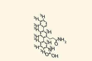 [3H]c1ccc(-c2c([3H])c([3H])c(-c3c([3H])c([3H])c([3H])c(N([3H])C(=O)O)c3[3H])c(CCC(N)=O)c2[3H])c([3H])c1[3H]